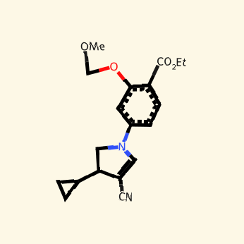 CCOC(=O)c1ccc(N2C=C(C#N)C(C3CC3)C2)cc1OCOC